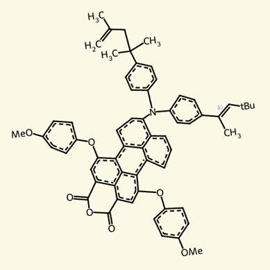 C=C(C)CC(C)(C)c1ccc(N(c2ccc(/C(C)=C/C(C)(C)C)cc2)c2ccc3c4c(Oc5ccc(OC)cc5)cc5c6c(cc(Oc7ccc(OC)cc7)c(c7cccc2c73)c64)C(=O)OC5=O)cc1